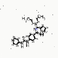 CCCN(CCC)/C(=N/C(=N)c1ccc(NC(=S)Nc2ccncc2)cc1)c1ccc[nH]1